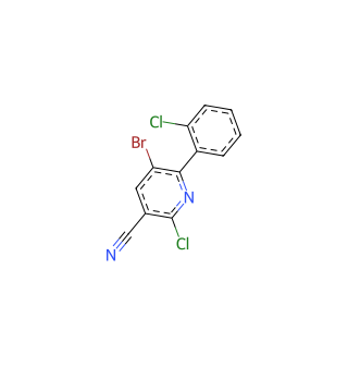 N#Cc1cc(Br)c(-c2ccccc2Cl)nc1Cl